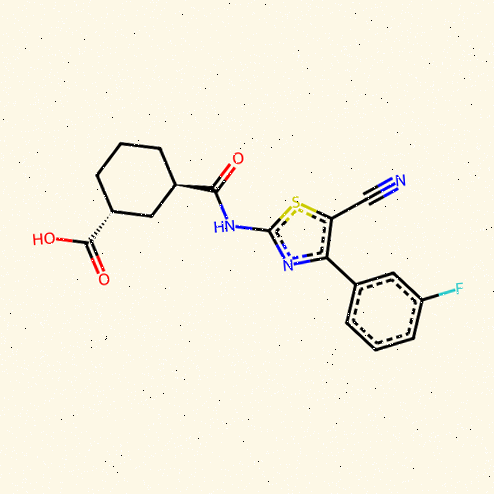 N#Cc1sc(NC(=O)[C@@H]2CCC[C@@H](C(=O)O)C2)nc1-c1cccc(F)c1